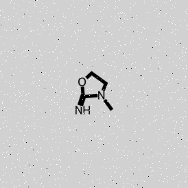 CN1CCOC1=N